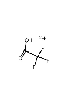 O=C(O)C(F)(F)F.[2H]